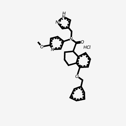 COc1ccc(N(Cc2cn[nH]c2)C(=O)C2CCCc3c(OCc4ccccc4)cccc32)cn1.Cl